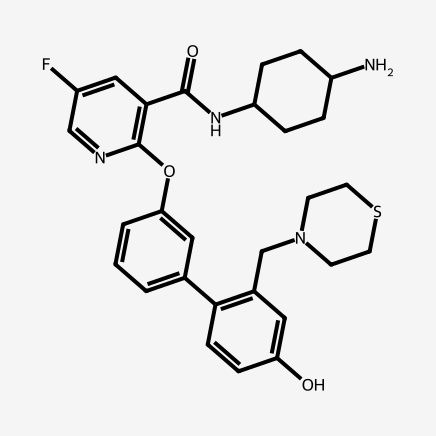 NC1CCC(NC(=O)c2cc(F)cnc2Oc2cccc(-c3ccc(O)cc3CN3CCSCC3)c2)CC1